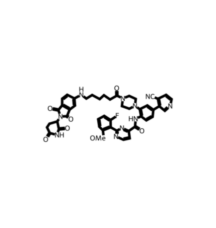 COc1cccc(F)c1-c1nccc(C(=O)Nc2ccc(-c3cnccc3C#N)cc2N2CCN(C(=O)CCCCCNc3ccc4c(c3)C(=O)N(C3CCC(=O)NC3=O)C4=O)CC2)n1